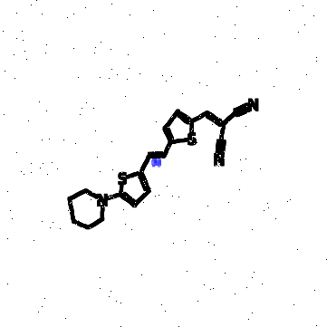 N#CC(C#N)=Cc1ccc(/C=C/c2ccc(N3CCCCC3)s2)s1